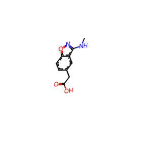 CNc1noc2ccc(CC(=O)O)cc12